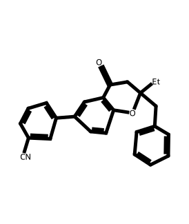 CCC1(Cc2ccccc2)CC(=O)c2cc(-c3cccc(C#N)c3)ccc2O1